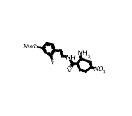 COc1ccc(CCNC(=O)C2CCC([N+](=O)[O-])CC2N)c(F)c1